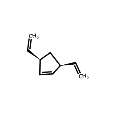 C=C[C@@H]1C=C[C@H](C=C)C1